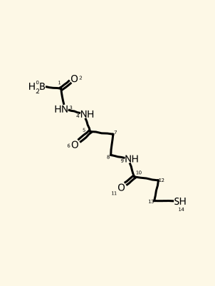 BC(=O)NNC(=O)CCNC(=O)CCS